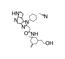 C=C1CC(CCO)CC(C)(NC(=O)Cc2nc3cnc4[nH]ccc4c3n2[C@H]2CC[C@@H](CC#N)CC2)C1